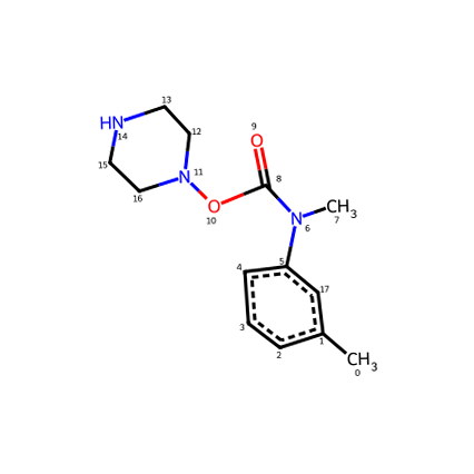 Cc1cccc(N(C)C(=O)ON2CCNCC2)c1